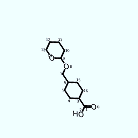 O=C(O)C1CCC(COC2CCCCO2)CC1